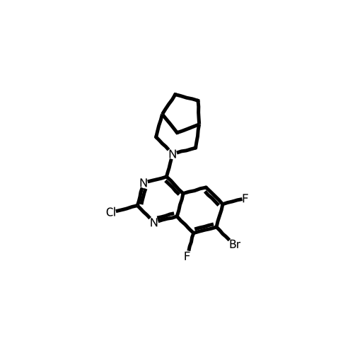 Fc1cc2c(N3CC4CCC(C4)C3)nc(Cl)nc2c(F)c1Br